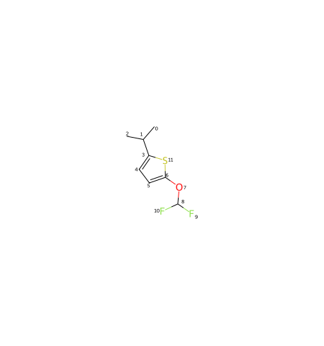 CC(C)c1ccc(OC(F)F)s1